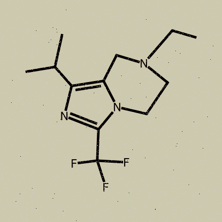 CCN1CCn2c(C(F)(F)F)nc(C(C)C)c2C1